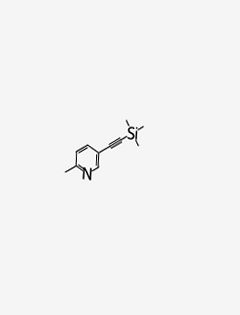 Cc1ccc(C#C[Si](C)(C)C)cn1